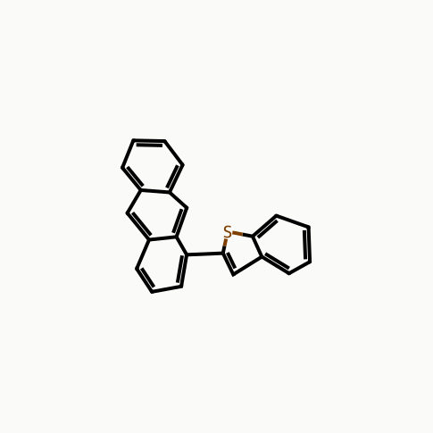 c1ccc2cc3c(-c4cc5ccccc5s4)cccc3cc2c1